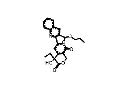 CCCOC1c2cc3ccccc3nc2-c2cc3c(c(=O)n21)COC(=O)[C@]3(O)CC